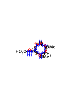 CNC(=O)C[C@@H]1NC(=O)c2csc(n2)-c2ccc(-c3nc(NC(=O)NCCCC(=O)O)cs3)nc2-c2csc(n2)-c2csc(n2)[C@H]([C@@H](O)c2ccccc2)NC(=O)CNC(=O)c2nc(sc2COC)NC(=O)c2nc1sc2C